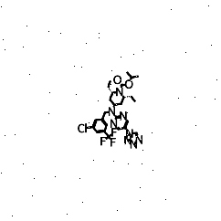 CC[C@@H]1C[C@@H](N(Cc2cc(Cl)cc(C(F)(F)F)c2)c2ncc(-n3cnnn3)cn2)C[C@H](CC)N1C(=O)OC(C)C